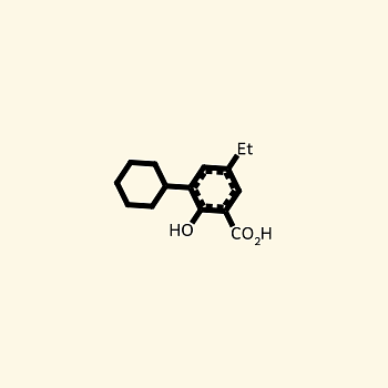 CCc1cc(C(=O)O)c(O)c(C2CCCCC2)c1